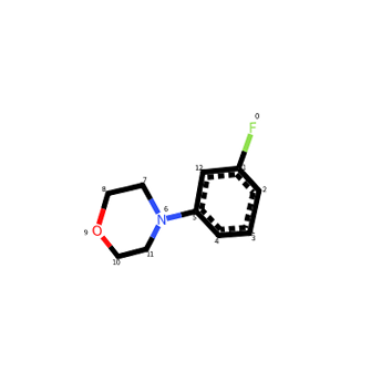 Fc1c[c]cc(N2CCOCC2)c1